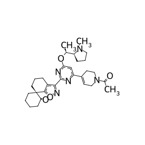 CC(=O)N1CC=C(c2cc(O[C@@H](C)[C@@H]3CCCN3C)nc(-c3noc4c3CCC[C@@]43CCCCC3=O)n2)CC1